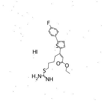 CCOC(=O)C=C(CCCCSC(=N)N)c1ccc(-c2ccc(F)cc2)s1.I